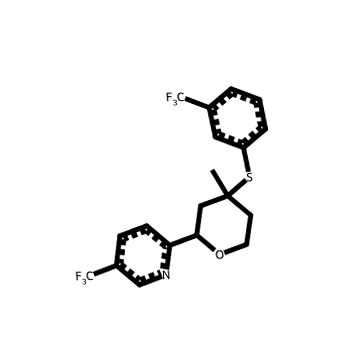 CC1(Sc2cccc(C(F)(F)F)c2)CCOC(c2ccc(C(F)(F)F)cn2)C1